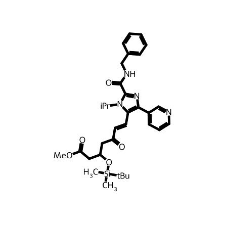 COC(=O)CC(CC(=O)C=Cc1c(-c2cccnc2)nc(C(=O)NCc2ccccc2)n1C(C)C)O[Si](C)(C)C(C)(C)C